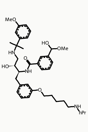 CCCNCCCCCOc1cccc(C[C@H](NC(=O)c2cccc(C(O)OC)c2)[C@H](O)CNC(C)(C)c2cccc(OC)c2)c1